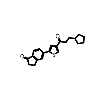 O=C(CCC1CCCC1)c1csc(-c2ccc3c(c2)CCC3=O)c1